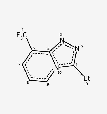 CCc1nnc2c(C(F)(F)F)cccn12